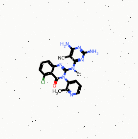 CCN(c1nc(N)nc(N)c1C#N)c1nc2cccc(Cl)c2c(=O)n1-c1cccnc1C